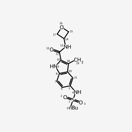 CCCCS(=O)(=O)Nc1ccc2[nH]c(C(=O)NC3COC3)c(C)c2c1